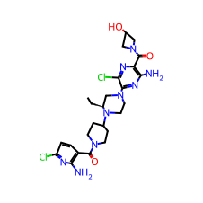 CC[C@H]1CN(c2nc(N)c(C(=O)N3CC(O)C3)nc2Cl)CCN1C1CCN(C(=O)c2ccc(Cl)nc2N)CC1